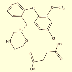 COc1cc(Cl)ccc1Oc1ccccc1C[C@H]1CNCCO1.O=C(O)CCC(=O)O